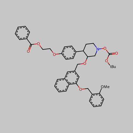 COc1ccccc1COc1cc(COC2CN(OC(=O)OC(C)(C)C)CCC2c2ccc(OCCOC(=O)c3ccccc3)cc2)cc2ccccc12